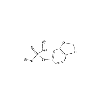 CCOP(=S)(NC(C)C)Oc1ccc2c(c1)OCO2